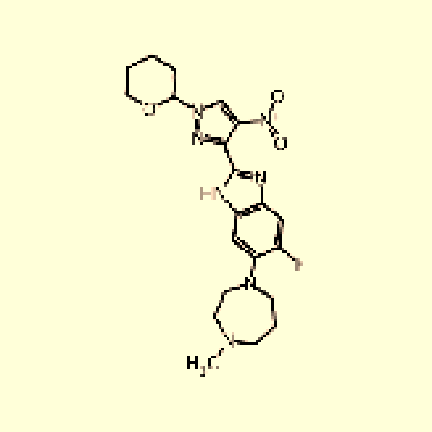 CN1CCCN(c2cc3[nH]c(-c4nn(C5CCCCO5)cc4[N+](=O)[O-])nc3cc2F)CC1